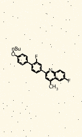 CCCCOc1ccc(-c2ccc(-c3cc(C)c4cc(F)ccc4n3)cc2F)cc1